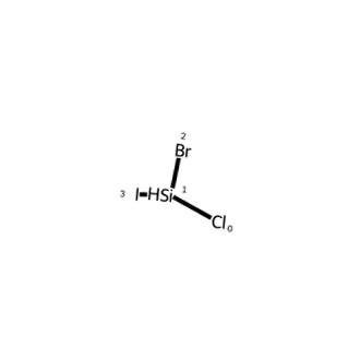 Cl[SiH](Br)I